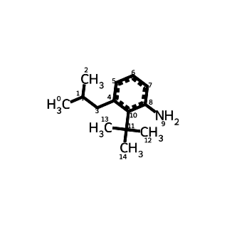 C[C](C)Cc1cccc(N)c1C(C)(C)C